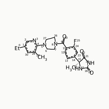 CCc1cnc(N2CCN(C(=O)c3ccc([C@]4(C)NC(=O)NC4=O)cc3F)CC2)c(C)c1